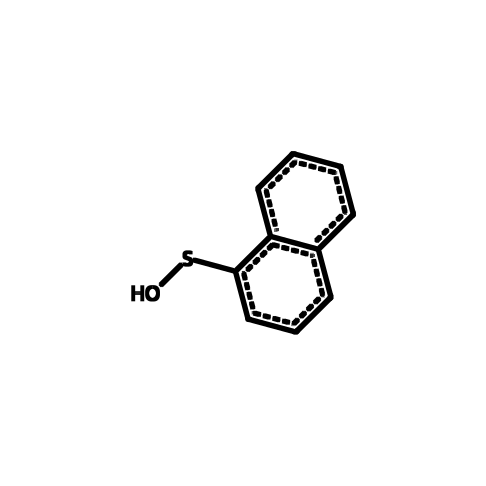 OSc1cccc2ccccc12